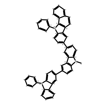 Cn1c2ccc(-c3ccc4c(c3)c3ccccc3n4-c3ccccc3)cc2c2cc(-c3ccc4c(c3)c3ccc5ccccc5c3n4-c3ccccc3)ccc21